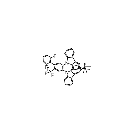 CC(C)(C)c1ccc2c(c1)c1ccccc1n2-c1cc(-c2c(F)cccc2F)c(C(F)(F)F)cc1-n1c2ccccc2c2cc(C(C)(C)C)ccc21